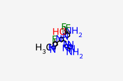 Cn1ncc2cc(-c3cc(Cn4cnc5c(N)ncnc54)c(N4CCC[C@](N)([C@H](O)C(F)F)C4)cn3)c(F)cc21